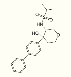 CC(C)S(=O)(=O)N[C@@H]1COCC[C@@]1(O)c1ccc(-c2ccccc2)cc1